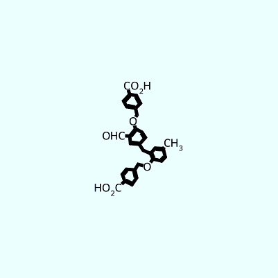 Cc1ccc(OCc2ccc(C(=O)O)cc2)c(Cc2ccc(OCc3ccc(C(=O)O)cc3)c(C=O)c2)c1